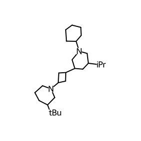 CC(C)C1CC(C2CC(N3CCCC(C(C)(C)C)C3)C2)CN(C2CCCCC2)C1